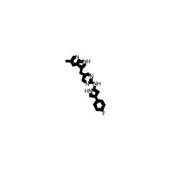 Cc1cnc2[nH]cc(Cc3cnc(Nc4cc(-c5ccc(F)cc5)c[nH]4)nc3)c2c1